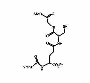 CCCCCC(=O)NC(CCC(=O)NC(CS)C(=O)NCC(=O)OC)C(=O)OCC